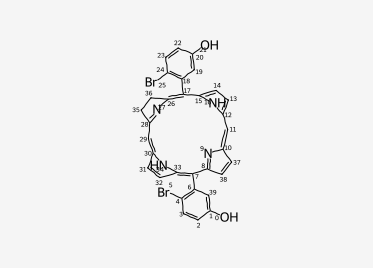 Oc1ccc(Br)c(-c2c3nc(cc4ccc([nH]4)c(-c4cc(O)ccc4Br)c4nc(cc5ccc2[nH]5)CC4)C=C3)c1